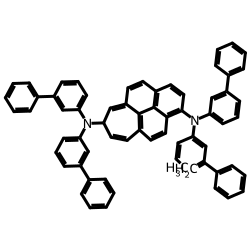 C=C(/C=C(\C=C/C)N(c1cccc(-c2ccccc2)c1)c1ccc2ccc3c4c(ccc1c24)C=CC(N(c1cccc(-c2ccccc2)c1)c1cccc(-c2ccccc2)c1)C=3)c1ccccc1